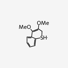 COC1=C(OC)c2ccccc2[SH]C1